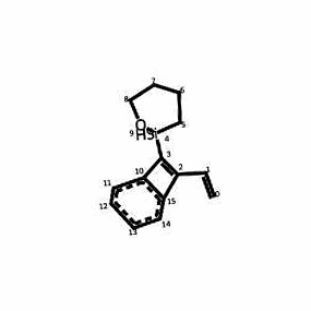 C=CC1=C([SiH]2CCCCO2)c2ccccc21